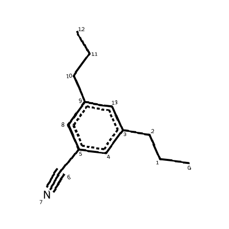 CCCc1cc(C#N)cc(CCC)c1